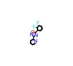 Fc1cccc(-c2nc(-c3ccccn3)no2)c1F